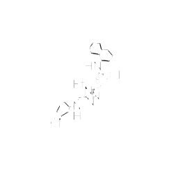 CCn1c(CNc2cccc(Cl)c2)nnc1SCC(O)Nc1cccc2ccccc12